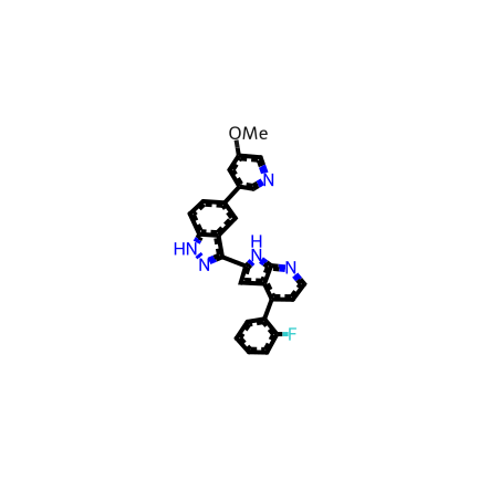 COc1cncc(-c2ccc3[nH]nc(-c4cc5c(-c6ccccc6F)ccnc5[nH]4)c3c2)c1